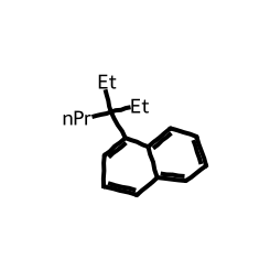 CCCC(CC)(CC)c1cccc2ccccc12